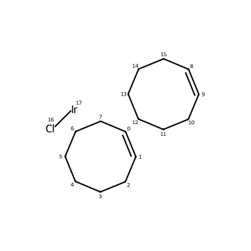 C1=C\CCCCCC/1.C1=C\CCCCCC/1.[Cl][Ir]